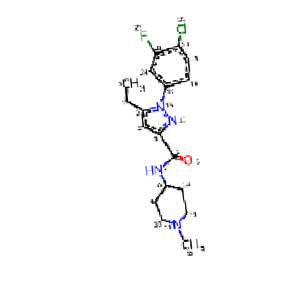 CCc1cc(C(=O)NC2CCN(C)CC2)nn1-c1ccc(Cl)c(F)c1